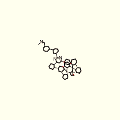 C/N=C\c1cccc(-c2cccc(-c3nc(-c4ccccc4)cc(-c4ccccc4-c4ccc5c(c4)-c4ccccc4C54c5ccccc5C5(c6ccccc6-c6ccccc65)c5ccccc54)n3)c2)c1